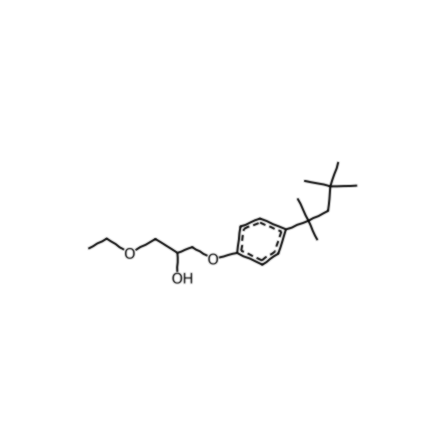 CCOCC(O)COc1ccc(C(C)(C)CC(C)(C)C)cc1